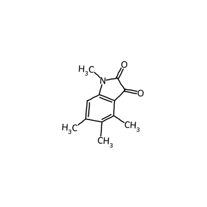 Cc1cc2c(c(C)c1C)C(=O)C(=O)N2C